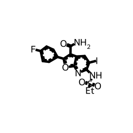 CCS(=O)(=O)Nc1nc2oc(-c3ccc(F)cc3)c(C(N)=O)c2cc1I